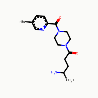 CCCCc1ccc(C(=O)N2CCN(C(=O)CCC(N)C(=O)O)CC2)nc1